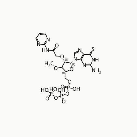 COC1[C@@H](COP(=O)(O)OP(=O)(O)OP(=O)(O)O)O[C@@H](n2cnc3c(=S)[nH]c(N)nc32)[C@H]1OCC(=O)Nc1ncccn1